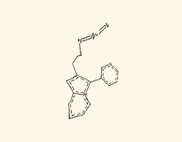 [N-]=[N+]=NCCc1cc2ccccn2c1-c1cccnc1